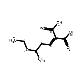 CCOC(C)CC=C(C(=O)O)C(=O)O